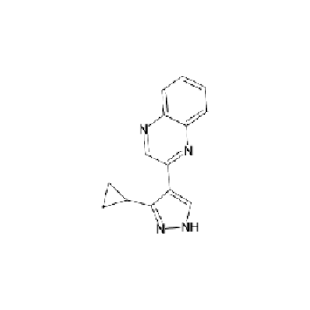 c1ccc2nc(-c3c[nH]nc3C3CC3)cnc2c1